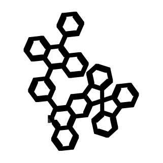 c1ccc(-c2c3ccccc3c(-c3cccc(-c4nc5ccccc5c5cc6c(cc45)-c4ccccc4C64c5ccccc5-c5ccccc54)c3)c3ccccc23)cc1